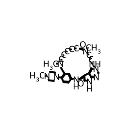 CN1CCN(c2ccc3cc2CN(C)CCCCCC(=O)N(C)CCNc2ncnc4c2/C(=C/N3)C(=O)N4)CC1